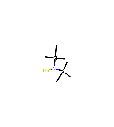 C[Si](C)(C)N(S)[Si](C)(C)C